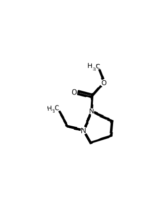 CCN1CCCN1C(=O)OC